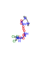 Cc1c(C(=O)NC2CCN(C(=O)CCC(=O)N(C)CC(=O)NCCCOCCOCCOCCCNC(=O)CN(C)C(=O)CCCCCN3\C(=C/C=C/C=C/C=C/C4=[N+](C)c5ccccc5C4(C)C)C(C)(C)c4ccccc43)CC2)nn(-c2ccc(Cl)cc2Cl)c1-c1ccc(Cl)cc1